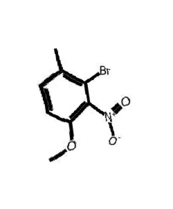 COc1ccc(C)c(Br)c1[N+](=O)[O-]